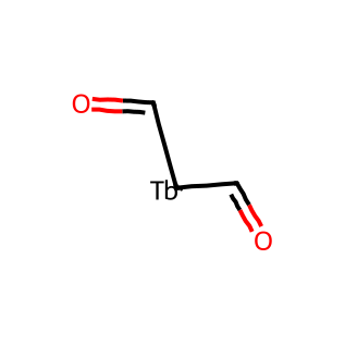 O=CCC=O.[Tb]